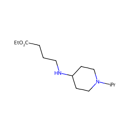 CCOC(=O)CCCNC1CCN(C(C)C)CC1